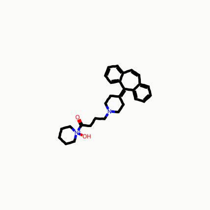 O=C(CCCN1CCC(=C2c3ccccc3C=Cc3ccccc32)CC1)[N+]1(O)CCCCC1